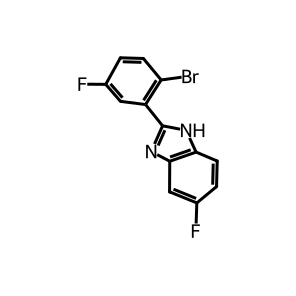 Fc1ccc(Br)c(-c2nc3cc(F)ccc3[nH]2)c1